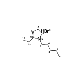 Br.CCCCCN1CCC=C1CC